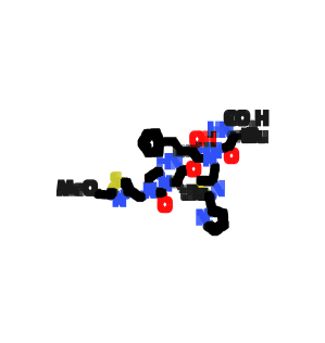 COCc1nc(CN2CCN([C@H](C(=O)N[C@@H](Cc3ccccc3)[C@@H](O)CN(Cc3csc(-c4ccccn4)n3)NC(=O)[C@@H](NC(=O)O)C(C)(C)C)C(C)(C)C)C2=O)cs1